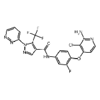 Nc1nccc(Oc2ccc(NC(=O)c3cnn(-c4cccnn4)c3C(F)(F)F)cc2F)c1Cl